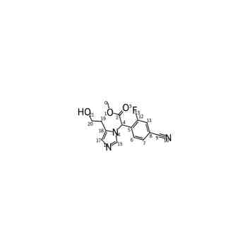 COC(=O)C(c1ccc(C#N)cc1F)n1cncc1CCO